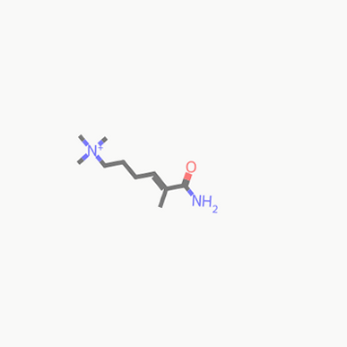 C/C(=C\CCC[N+](C)(C)C)C(N)=O